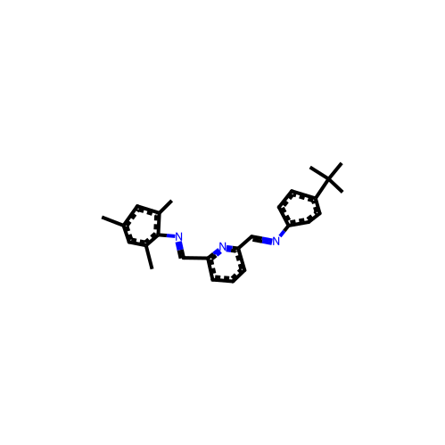 Cc1cc(C)c(N=Cc2cccc(C=Nc3ccc(C(C)(C)C)cc3)n2)c(C)c1